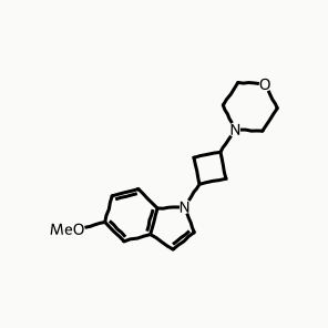 COc1ccc2c(ccn2C2CC(N3CCOCC3)C2)c1